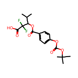 CC(C)C(OC(=O)c1ccc(OC(=O)OC(C)(C)C)cc1)C(F)(F)C(=O)O